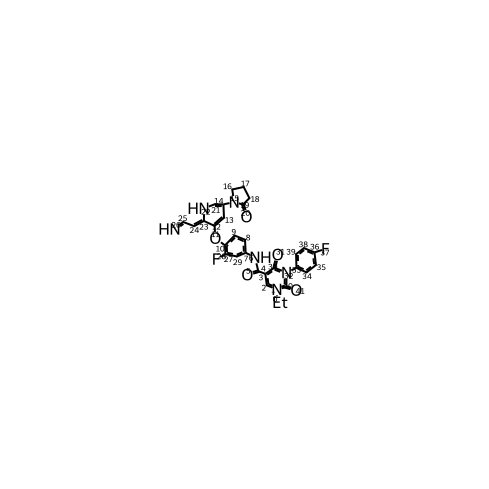 CCn1cc(C(=O)Nc2ccc(OC3=CC(N4CCCC4=O)=CN/C3=C\C=N)c(F)c2)c(=O)n(-c2ccc(F)cc2)c1=O